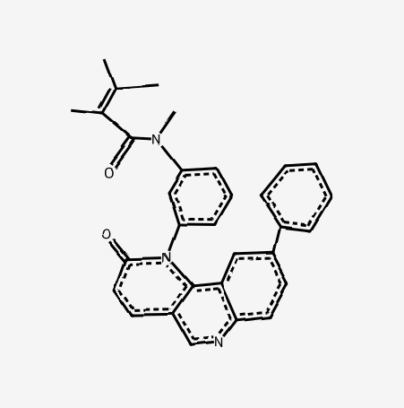 CC(C)=C(C)C(=O)N(C)c1cccc(-n2c(=O)ccc3cnc4ccc(-c5ccccc5)cc4c32)c1